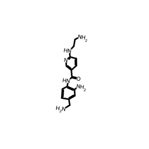 NCCNc1ccc(C(=O)Nc2ccc(CN)cc2N)cn1